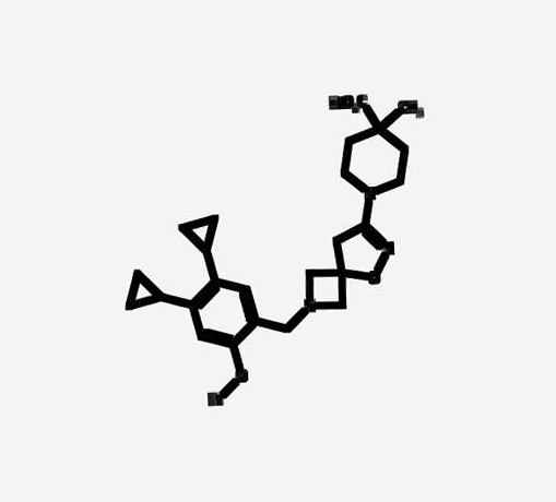 CCOC(=O)C1(C)CCN(C2=NOC3(C2)CN(Cc2cc(C4CC4)c(C4CC4)cc2OCC)C3)CC1